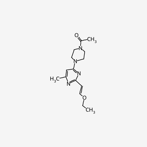 CCOC=Cc1nc(C)cc(N2CCN(C(C)=O)CC2)n1